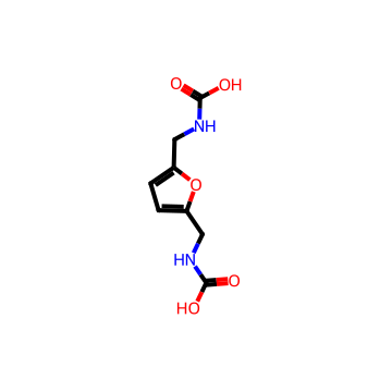 O=C(O)NCc1ccc(CNC(=O)O)o1